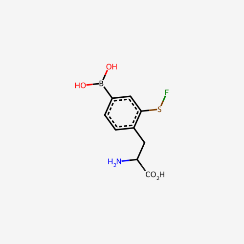 NC(Cc1ccc(B(O)O)cc1SF)C(=O)O